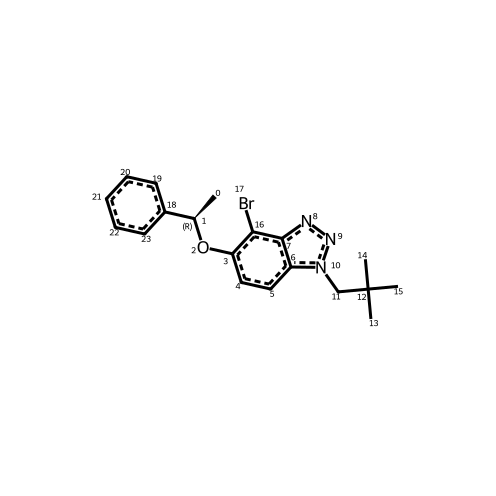 C[C@@H](Oc1ccc2c(nnn2CC(C)(C)C)c1Br)c1ccccc1